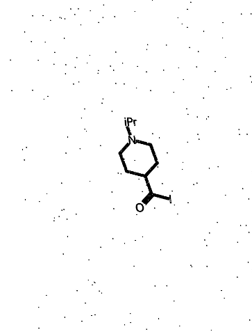 CC(C)N1CCC(C(=O)I)CC1